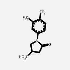 O=C(O)C1CC(=O)N(c2ccc(C(F)(F)F)c(C(F)(F)F)c2)C1